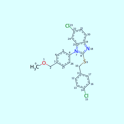 COCc1ccc(-n2c(SCc3ccc(Cl)cc3)nc3ccc(Cl)cc32)cc1